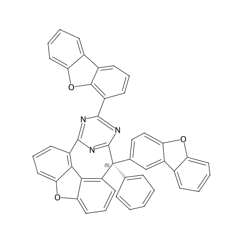 c1ccc([C@@]2(c3ccc4oc5ccccc5c4c3)c3nc(-c4cccc5c4oc4ccccc45)nc(n3)-c3cccc4oc5cccc2c5c34)cc1